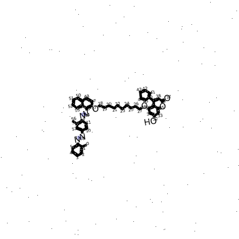 Cc1ccccc1/N=N/c1ccc(/N=N/c2c(OCCCCCCCCCCOc3cc(O)cc4oc(=O)cc(-c5ccccc5)c34)ccc3ccccc23)c(C)c1